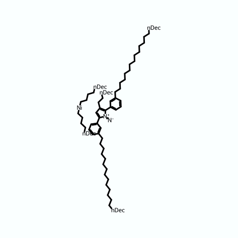 CCCCCCCCCCCCCCCCCCCCCCCCc1cccc(C2=CC(CCCCCCCCCCCC)=C(c3cccc(CCCCCCCCCCCCCCCCCCCCCCCC)c3)[N+]2=[N-])c1.CCCCCCCCCCCCC[CH2][Ni][CH2]CCCCCCCCCCCCC